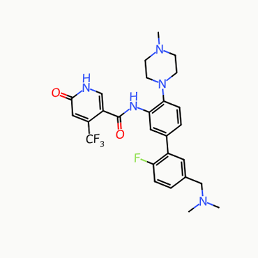 CN(C)Cc1ccc(F)c(-c2ccc(N3CCN(C)CC3)c(NC(=O)c3c[nH]c(=O)cc3C(F)(F)F)c2)c1